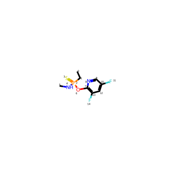 CCP(=S)(NC)Oc1ncc(F)cc1F